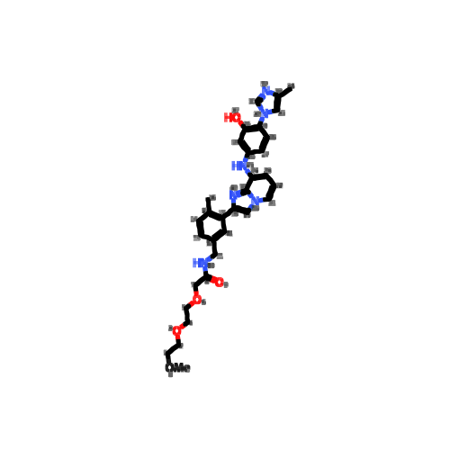 COCCOCCOCC(=O)NCc1ccc(C)c(-c2cn3cccc(Nc4ccc(-n5cnc(C)c5)c(O)c4)c3n2)c1